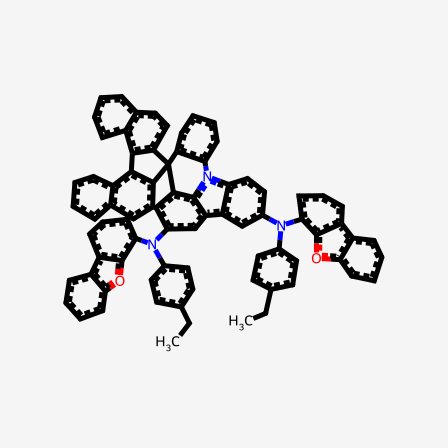 CCc1ccc(N(c2ccc3c(c2)c2cc(N(c4ccc(CC)cc4)c4cccc5c4oc4ccccc45)cc4c2n3-c2ccccc2C42c3ccc4ccccc4c3-c3c2ccc2ccccc32)c2cccc3c2oc2ccccc23)cc1